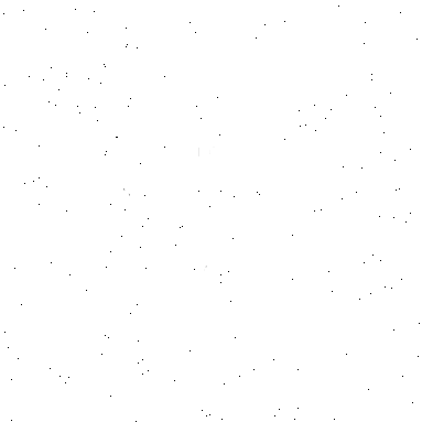 CC(=O)C1(c2ccccc2)CCNCC1.Cl